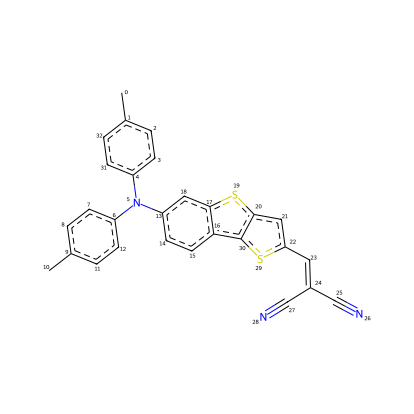 Cc1ccc(N(c2ccc(C)cc2)c2ccc3c(c2)sc2cc(C=C(C#N)C#N)sc23)cc1